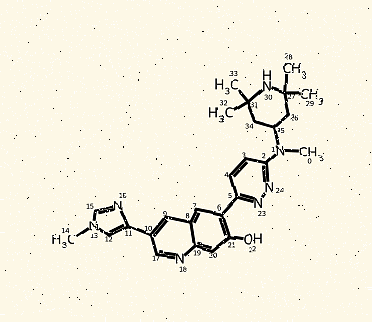 CN(c1ccc(-c2cc3cc(-c4cn(C)cn4)cnc3cc2O)nn1)C1CC(C)(C)NC(C)(C)C1